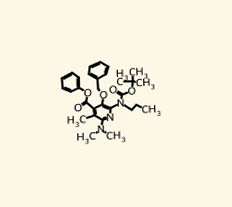 CCCN(C(=O)OC(C)(C)C)c1nc(N(C)C)c(C)c(C(=O)Oc2ccccc2)c1OCc1ccccc1